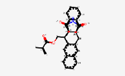 C=C(C)C(=O)OCC12c3cc4ccccc4cc3C(C3C=c4ccccc4=CC31)C1C(=O)NC(=O)C12